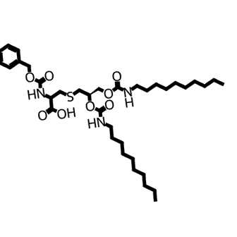 CCCCCCCCCCNC(=O)OC[C@H](CSCC(NC(=O)OCc1ccccc1)C(=O)O)OC(=O)NCCCCCCCCCC